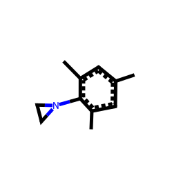 Cc1cc(C)c(N2CC2)c(C)c1